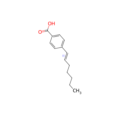 CCCCC/C=C/c1ccc(C(=O)O)cc1